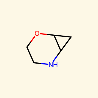 C1CO[C]2CC2N1